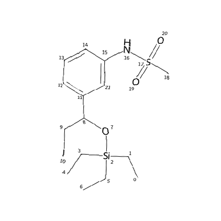 CC[Si](CC)(CC)OC(CI)c1cccc(NS(C)(=O)=O)c1